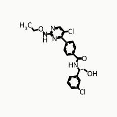 CCONc1ncc(Cl)c(-c2ccc(C(=O)N[C@H](CO)c3cccc(Cl)c3)cc2)n1